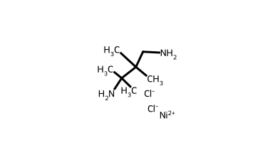 CC(C)(N)C(C)(C)CN.[Cl-].[Cl-].[Ni+2]